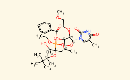 CCOP(=O)(OCC)C(CO)(C[C@H]1O[C@@H](n2cc(C)c(=O)[nH]c2=O)[C@H](OCCOC)[C@@H]1OC(=O)c1ccccc1)O[Si](C)(C)C(C)(C)C